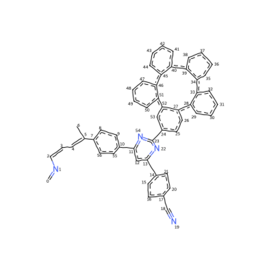 C=N/C=C\C=C(/C)c1ccc(-c2cc(-c3ccc(C#N)cc3)nc(-c3ccc4c5ccccc5c5ccccc5c5ccccc5c5ccccc5c4c3)n2)cc1